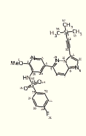 COc1ncc(-c2ccc3ncc(C#C[Si](C)(C)C)n3n2)cc1NS(=O)(=O)c1ccc(F)cc1